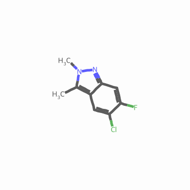 Cc1c2cc(Cl)c(F)cc2nn1C